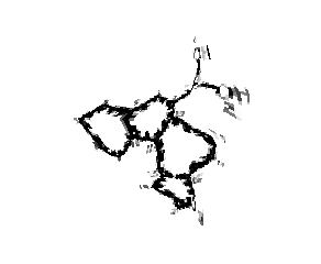 OB(O)c1cc2ccccc2c2c1ccc1sccc12